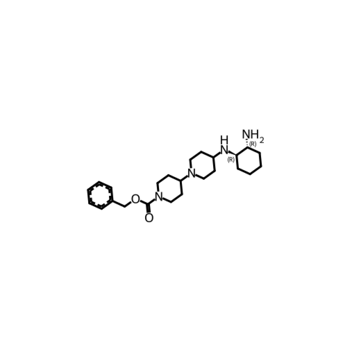 N[C@@H]1CCCC[C@H]1NC1CCN(C2CCN(C(=O)OCc3ccccc3)CC2)CC1